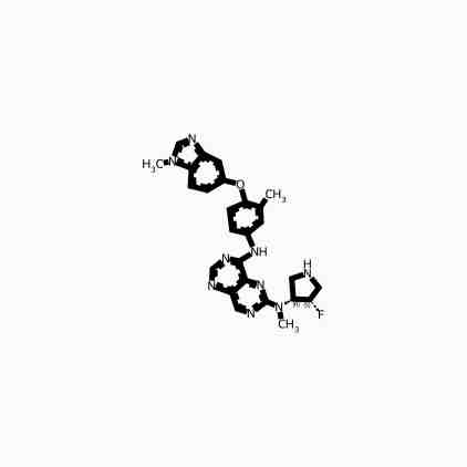 Cc1cc(Nc2ncnc3cnc(N(C)[C@@H]4CNC[C@@H]4F)nc23)ccc1Oc1ccc2c(c1)ncn2C